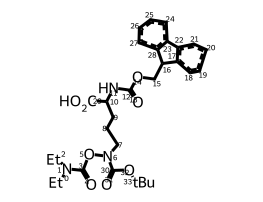 CCN(CC)C(=O)ON(CCCC(NC(=O)OCC1c2ccccc2-c2ccccc21)C(=O)O)C(=O)OC(C)(C)C